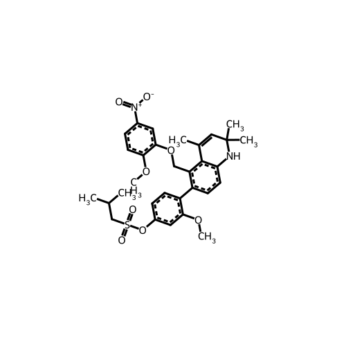 COc1ccc([N+](=O)[O-])cc1OCc1c(-c2ccc(OS(=O)(=O)CC(C)C)cc2OC)ccc2c1C(C)=CC(C)(C)N2